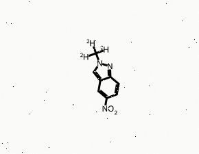 [2H]C([2H])([2H])n1cc2cc([N+](=O)[O-])ccc2n1